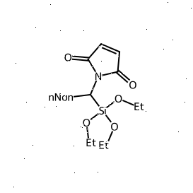 CCCCCCCCCC(N1C(=O)C=CC1=O)[Si](OCC)(OCC)OCC